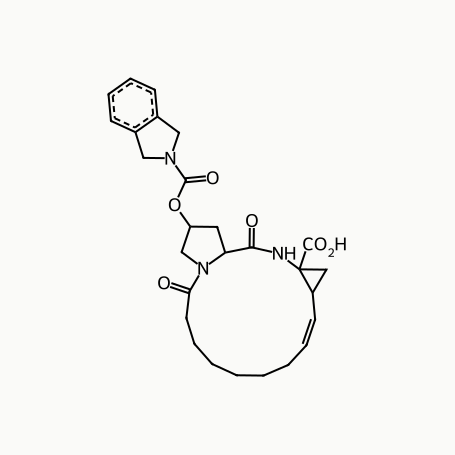 O=C1NC2(C(=O)O)CC2C=CCCCCCCC(=O)N2CC(OC(=O)N3Cc4ccccc4C3)CC12